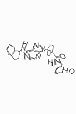 O=CCNC(=O)[C@@H]1CC[C@H](n2cnc3c(N[C@H]4CCc5ccccc54)ncnc32)O1